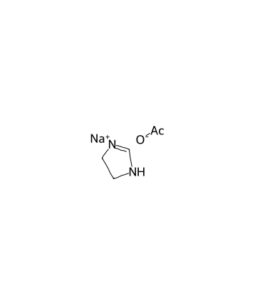 C1=NCCN1.CC(=O)[O-].[Na+]